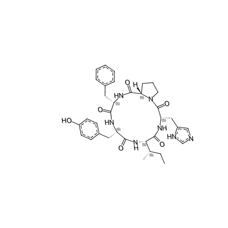 CC[C@H](C)[C@@H]1NC(=O)[C@H](Cc2ccc(O)cc2)NC(=O)[C@H](Cc2ccccc2)NC(=O)[C@@H]2CCCN2C(=O)[C@H](Cc2cnc[nH]2)NC1=O